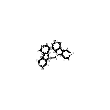 c1cc2c(cn1)c1cnccc1n2Cn1c2ccncc2c2cnccc21